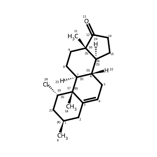 C[C@@H]1CC2=CC[C@@H]3[C@H](CC[C@]4(C)C(=O)CC[C@@H]34)[C@@]2(C)[C@@H](Cl)C1